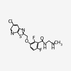 CNCNC(=O)c1c(F)ccc(OCc2nc3cc(Cl)cnc3s2)c1F